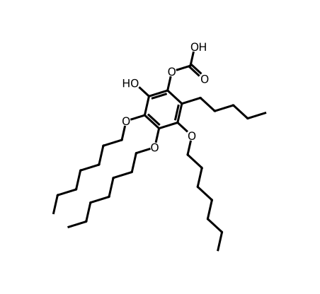 CCCCCCCOc1c(O)c(OC(=O)O)c(CCCCC)c(OCCCCCCC)c1OCCCCCCC